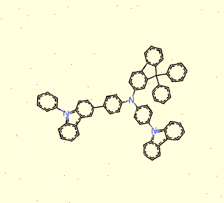 c1ccc(-n2c3ccccc3c3cc(-c4ccc(N(c5ccc(-n6c7ccccc7c7ccccc76)cc5)c5ccc6c(c5)C(c5ccccc5)(c5ccccc5)c5ccccc5-6)cc4)ccc32)cc1